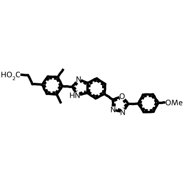 COc1ccc(-c2nnc(-c3ccc4nc(-c5c(C)cc(CCC(=O)O)cc5C)[nH]c4c3)o2)cc1